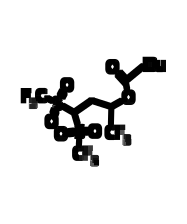 CCC(C)C(=O)OC(CC(S(=O)(=O)C(F)(F)F)S(=O)(=O)C(F)(F)F)C(F)(F)F